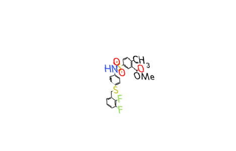 COC(=O)c1cc(S(=O)(=O)Nc2ccc(SCc3cccc(F)c3F)cc2)ccc1C